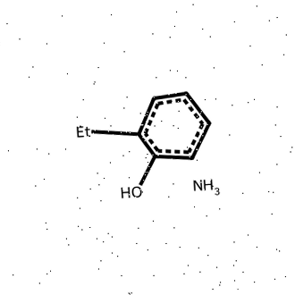 CCc1ccccc1O.N